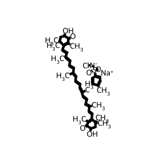 CC1=C(/C=C/C(C)=C/C=C/C(C)=C/C=C/C=C(C)/C=C/C=C(C)/C=C/C2=C(C)C(=O)C(O)CC2(C)C)C(C)(C)CC(O)C1=O.Cc1ccc(S(=O)(=O)[N-]Cl)cc1.[Na+]